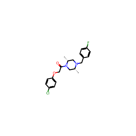 C[C@@H]1CN(C(=O)COc2ccc(Cl)cc2)[C@H](C)CN1Cc1ccc(F)cc1